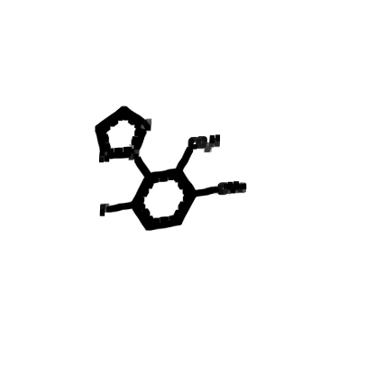 COc1ccc(F)c(-n2nccn2)c1C(=O)O